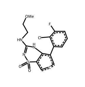 COCCNC1=NS(=O)(=O)c2cccc(-c3cccc(F)c3Cl)c2N1